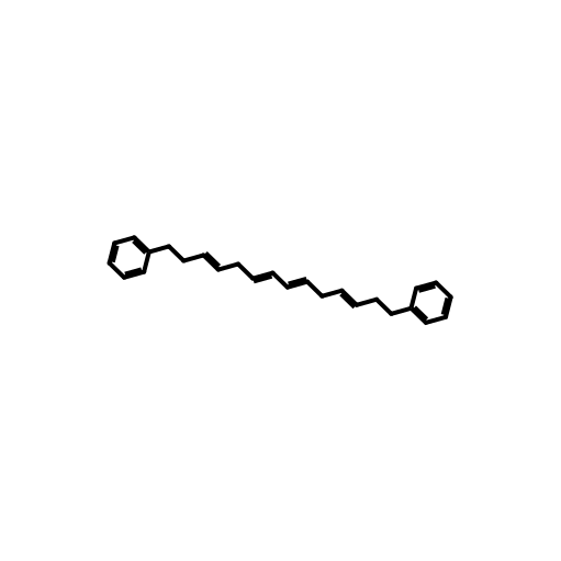 C(C=CCC=CCCc1ccccc1)=CCC=CCCc1ccccc1